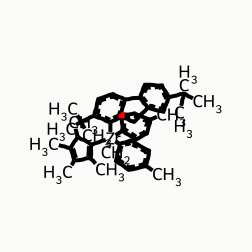 [CH2]=[Zr]([C]1=C(C)C(C)=C(C)C1C)([c]1ccc(C)cc1)([c]1ccc(C)cc1)[c]1c(C(C)(C)C)ccc2c1Cc1cc(C(C)(C)C)ccc1-2